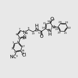 N#Cc1ccc(-c2ccn(CCNC(=O)c3cc(=O)n(-c4ccccc4)[nH]3)n2)cc1Cl